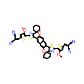 COc1cc(C=C(C#N)C#N)sc1C1=NC2C(S1)C1=CC3C=C4OC5(CCCCC5)c5nc(-c6sc(C=C(C#N)C#N)cc6OC)sc5C4=CC3C=C1OC21CCCCC1